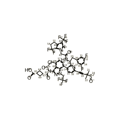 C[S+]([O-])N(c1nn(CC(F)(F)F)c2c(-c3ccc(C#CC(C)(C)[S+](C)[O-])nc3C(Cc3cc(F)cc(F)c3)NC(=O)Cn3nc(C(F)(F)F)c4c3C(F)(F)CC4)ccc(Cl)c12)C(=O)[C@H]1C[C@@H](C(=O)O)C1